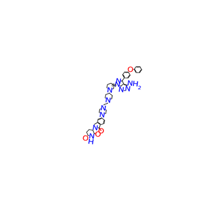 Nc1ncnc2c1c(-c1ccc(Oc3ccccc3)cc1)nn2[C@@H]1CCCN(C2CCN(CCN3CCN(c4ccc5c(c4)CN(C4CCC(=O)NC4=O)C5=O)CC3)CC2)C1